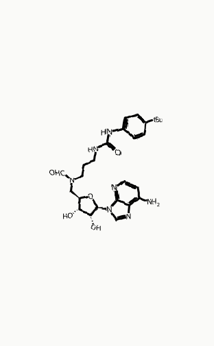 CC(C)(C)c1ccc(NC(=O)NCCCN(C=O)C[C@H]2O[C@@H](n3cnc4c(N)ccnc43)[C@H](O)[C@@H]2O)cc1